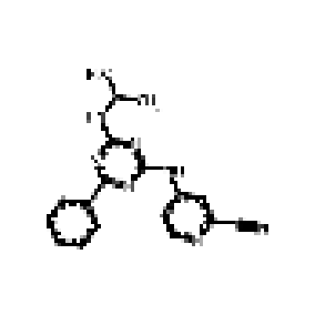 CC(C)Nc1nc(Nc2ccnc(C#N)c2)nc(-c2ccccc2)n1